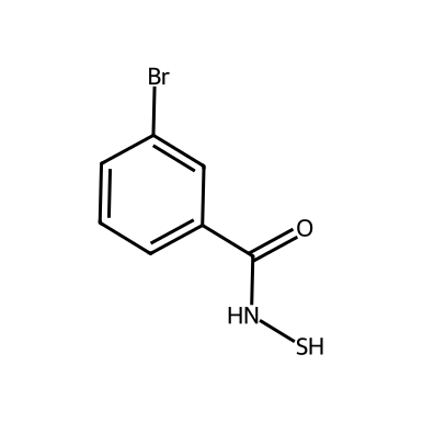 O=C(NS)c1cccc(Br)c1